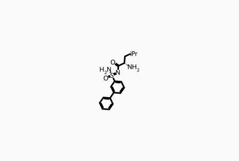 CC(C)C[C@H](N)C(=O)N=S(N)(=O)c1cccc(-c2ccccc2)c1